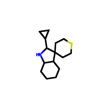 C1CCC2C(C1)NC(C1CC1)C21CCSCC1